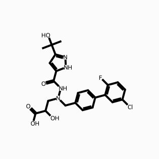 CC(C)(O)c1cc(C(=O)NN(Cc2ccc(-c3cc(Cl)ccc3F)cc2)CC(O)C(=O)O)[nH]n1